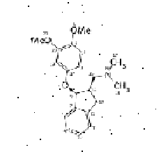 COc1ccc(O[C@@H]2c3ccccc3C[C@@H]2CN(C)C)cc1OC